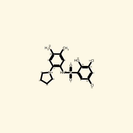 Cc1cc(NS(=O)(=O)c2cc(Cl)cc(Cl)c2O)c(N2CCCC2)cc1C